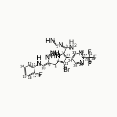 N=C/N=C(/N)c1[nH]c(C/C(=C/Nc2ccccc2F)N=N)c(Br)c1-c1cnc(C(F)(F)F)nc1